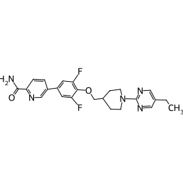 CCc1cnc(N2CCC(COc3c(F)cc(-c4ccc(C(N)=O)nc4)cc3F)CC2)nc1